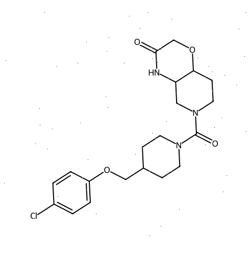 O=C1COC2CCN(C(=O)N3CCC(COc4ccc(Cl)cc4)CC3)CC2N1